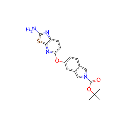 CC(C)(C)OC(=O)n1cc2ccc(Oc3ccc4nc(N)sc4n3)cc2c1